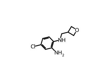 Nc1cc(Cl)ccc1NCC1COC1